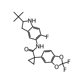 CC(C)(C)C1Cc2cc(NC(=O)C3(c4ccc5c(c4)OC(F)(F)O5)CC3)c(F)cc2N1